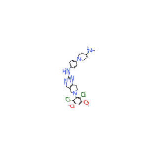 COc1cc(OC)c(Cl)c(N2CCc3nc(Nc4ccc(N5CCC(N(C)C)CC5)cc4)ncc3C2)c1Cl